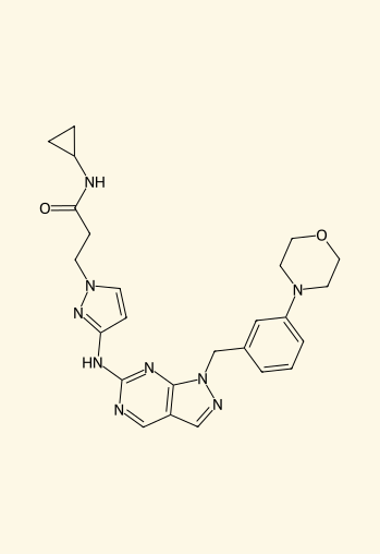 O=C(CCn1ccc(Nc2ncc3cnn(Cc4cccc(N5CCOCC5)c4)c3n2)n1)NC1CC1